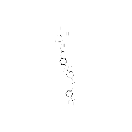 CC(C)(C)OC(=O)NCC(=O)Nc1ccc(S(=O)(=O)N2CCC(=NOCc3cccc(C(F)(F)F)c3)CC2)cc1